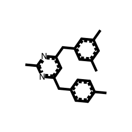 Cc1ccc(Cc2cc(Cc3cc(C)cc(C)c3)nc(C)n2)cc1